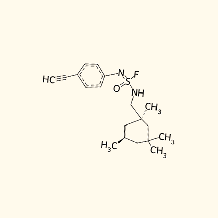 C#Cc1ccc(N=S(=O)(F)NC[C@]2(C)C[C@H](C)CC(C)(C)C2)cc1